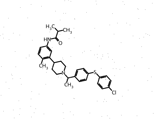 Cc1ccc(NC(=O)C(C)C)cc1C1CCN(C(C)c2ccc(Sc3ccc(Cl)cc3)cc2)CC1